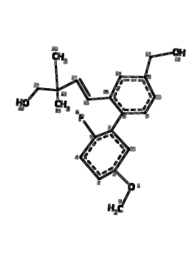 COc1ccc(F)c(-c2ccc(CO)cc2C=CC(C)(C)CO)c1